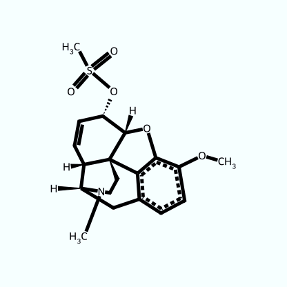 COc1ccc2c3c1O[C@H]1[C@@H](OS(C)(=O)=O)C=C[C@H]4[C@@H](C2)N(C)CC[C@@]341